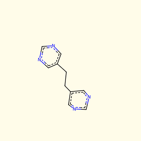 c1ncc(CCc2cncnc2)cn1